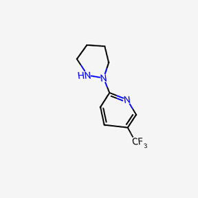 FC(F)(F)c1ccc(N2CCCCN2)nc1